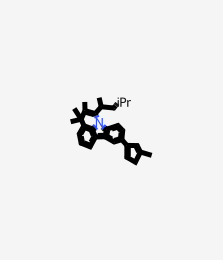 CC1=CC(c2ccc3c(c2)c2cccc4c2n3C(C(C)CC(C)C)=C(C)C4(C)C)=CC1